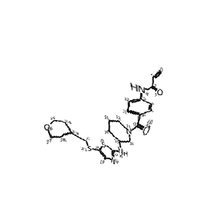 C=CC(=O)Nc1ccc(C(=O)N2CCCC(Nc3ncc(SCC4CCOCC4)s3)C2)cc1